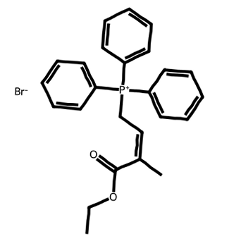 CCOC(=O)C(C)=CC[P+](c1ccccc1)(c1ccccc1)c1ccccc1.[Br-]